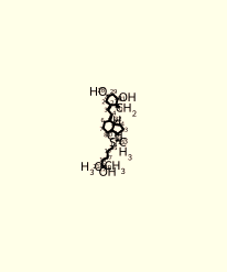 C=C1/C(=C\C=C2/CCC[C@]3(C)[C@@H](C(C)SCCCCC(C)(C)O)CC[C@@H]23)C[C@@H](O)C[C@@H]1O